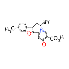 Cc1ccc2c3c(oc2c1)-c1cc(=O)c(C(=O)O)cn1[C@H](C(C)C)C3